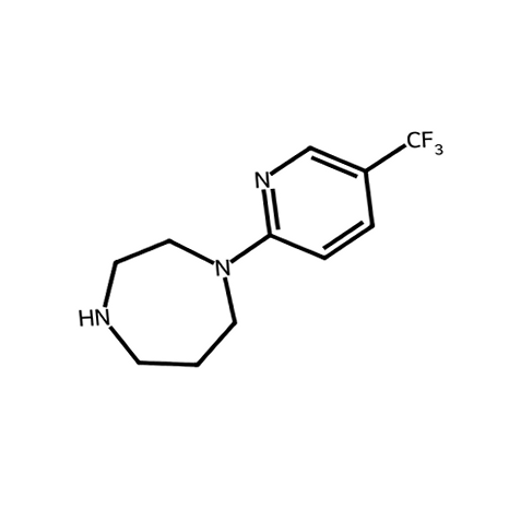 FC(F)(F)c1ccc(N2CCCNCC2)nc1